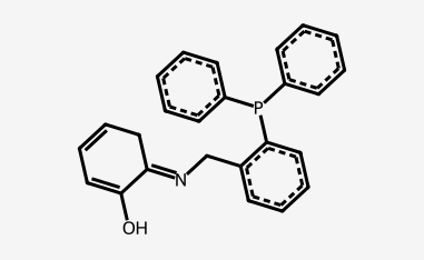 OC1=CC=CCC1=NCc1ccccc1P(c1ccccc1)c1ccccc1